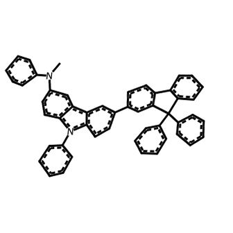 CN(c1ccccc1)c1ccc2c(c1)c1cc(-c3ccc4c(c3)C(c3ccccc3)(c3ccccc3)c3ccccc3-4)ccc1n2-c1ccccc1